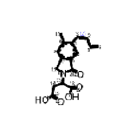 C=C/C=C\c1cc2c(cc1C)CN(C(CC(=O)O)C(=O)O)C2=O